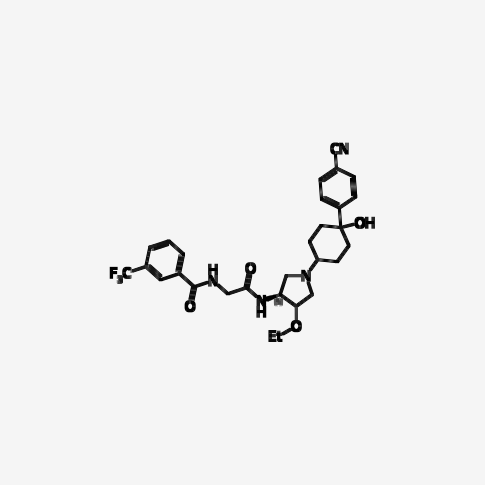 CCOC1CN(C2CCC(O)(c3ccc(C#N)cc3)CC2)C[C@@H]1NC(=O)CNC(=O)c1cccc(C(F)(F)F)c1